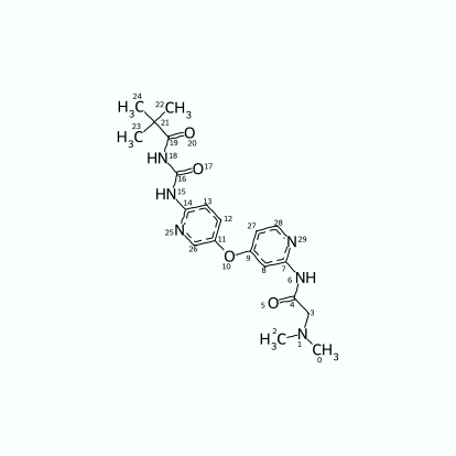 CN(C)CC(=O)Nc1cc(Oc2ccc(NC(=O)NC(=O)C(C)(C)C)nc2)ccn1